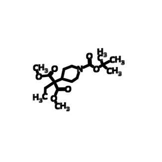 CCC(C(=O)OC)(C(=O)OC)C1CCN(C(=O)OC(C)(C)C)CC1